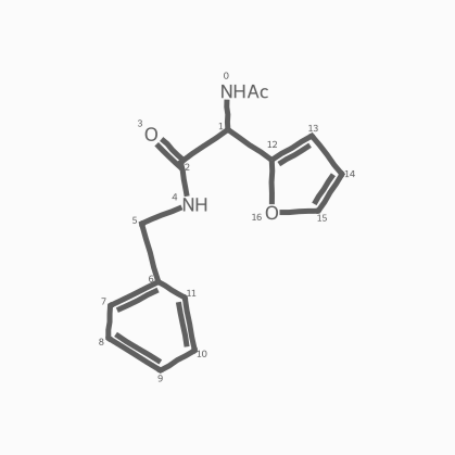 CC(=O)NC(C(=O)NCc1ccccc1)c1ccco1